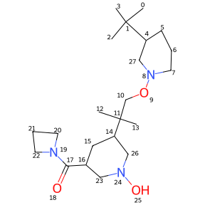 CC(C)(C)C1CCCN(OCC(C)(C)C2CC(C(=O)N3CCC3)CN(O)C2)C1